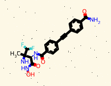 CC(N)(C(F)F)[C@H](NC(=O)c1ccc(C#Cc2ccc(C(N)=O)cc2)cc1)C(=O)NO